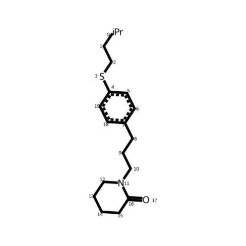 CC(C)CCSc1ccc(CCCN2CCCCC2=O)cc1